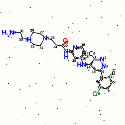 Cc1nnc(-c2cc(Cl)ccc2F)cc1Nc1ccnc(NC(=O)CCN2CCN(CCN)CC2)c1